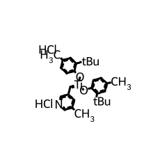 Cc1cncc([CH]=[Ti]([O]c2ccc(C)cc2C(C)(C)C)[O]c2ccc(C)cc2C(C)(C)C)c1.Cl.Cl